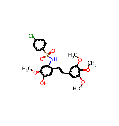 COc1cc(NS(=O)(=O)c2ccc(Cl)cc2)c(C=Cc2cc(OC)c(OC)c(OC)c2)cc1O